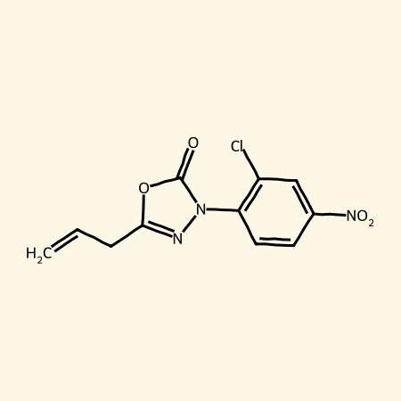 C=CCc1nn(-c2ccc([N+](=O)[O-])cc2Cl)c(=O)o1